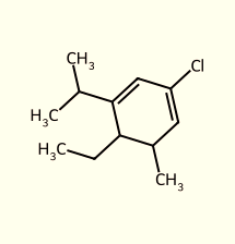 CCC1C(C(C)C)=CC(Cl)=CC1C